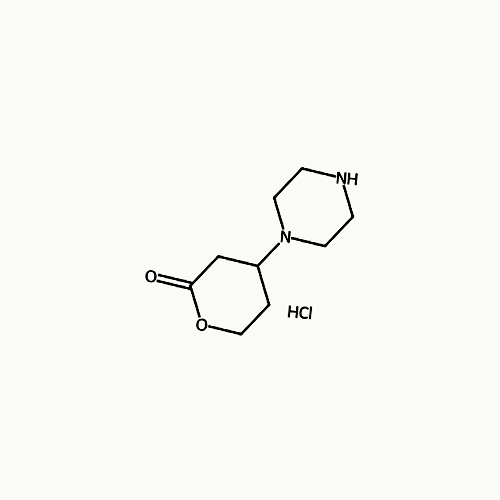 Cl.O=C1CC(N2CCNCC2)CCO1